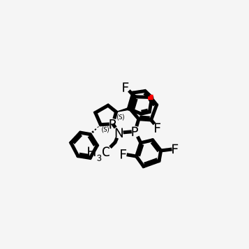 CCN(P(c1cc(F)ccc1F)c1cc(F)ccc1F)P1[C@H](c2ccccc2)CC[C@H]1c1ccccc1